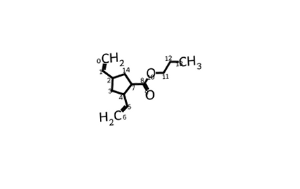 C=CC1CC(C=C)C(C(=O)OCCC)C1